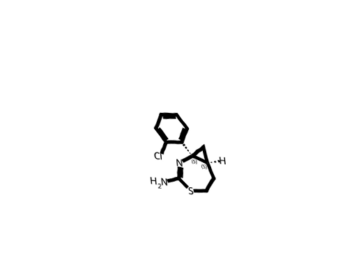 NC1=N[C@@]2(c3ccccc3Cl)C[C@H]2CCS1